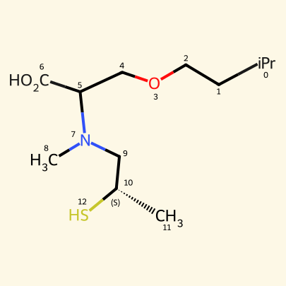 CC(C)CCOCC(C(=O)O)N(C)C[C@H](C)S